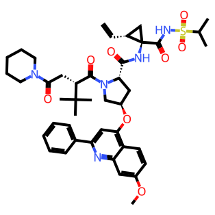 C=C[C@@H]1C[C@]1(NC(=O)[C@@H]1C[C@@H](Oc2cc(-c3ccccc3)nc3cc(OC)ccc23)CN1C(=O)[C@@H](CC(=O)N1CCCCC1)C(C)(C)C)C(=O)NS(=O)(=O)C(C)C